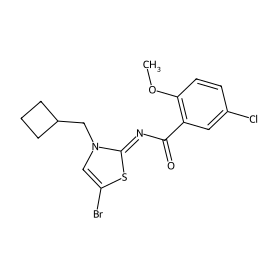 COc1ccc(Cl)cc1C(=O)/N=c1\sc(Br)cn1CC1CCC1